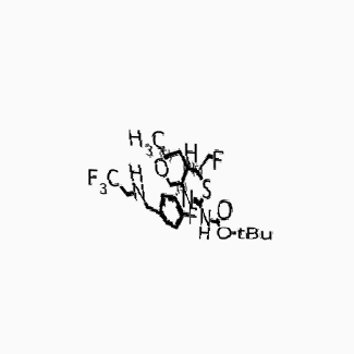 C[C@H]1C[C@H]2[C@@H](CF)SC(NC(=O)OC(C)(C)C)=N[C@@]2(c2cc(CNCC(F)(F)F)ccc2F)CO1